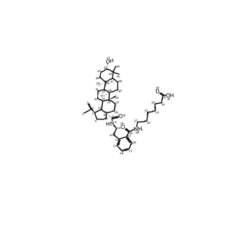 C=C(C)[C@@H]1CC[C@]2(C(=O)NCCc3ccccc3C(=O)NCCCCCCC(=O)O)CC[C@]3(C)C(CCC4[C@@]5(C)CC[C@H](O)C(C)(C)C5CC[C@]43C)C12